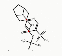 CC(C)(C)OC(=O)NC1CC2CCC(C1)N2c1ccc(S(C)(=O)=O)cn1